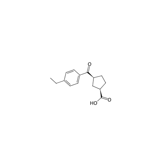 CCc1ccc(C(=O)[C@H]2CC[C@@H](C(=O)O)C2)cc1